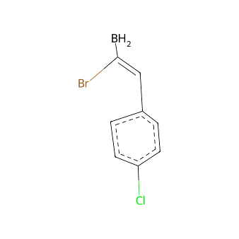 B/C(Br)=C/c1ccc(Cl)cc1